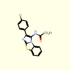 CCOC(=O)C(=O)Nc1c(-c2ccc(Cl)cc2)nc2sc3ccccc3n12